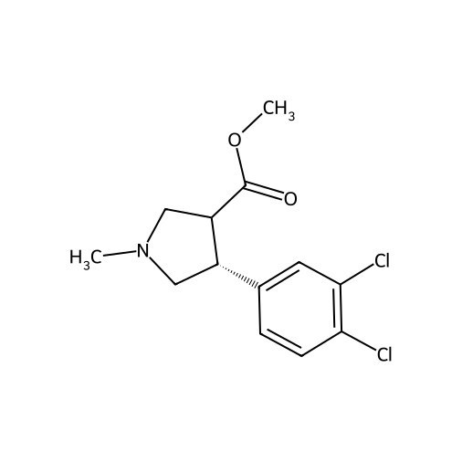 COC(=O)C1CN(C)C[C@H]1c1ccc(Cl)c(Cl)c1